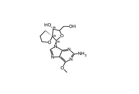 COc1nc(N)nc2c1ncn2[C@@H]1OC(CO)[C@@H](O)[C@@]12CCCO2